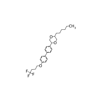 CCCCCCC1COC(c2ccc(-c3ccc(OCCCC(F)(F)F)cc3)cc2)CO1